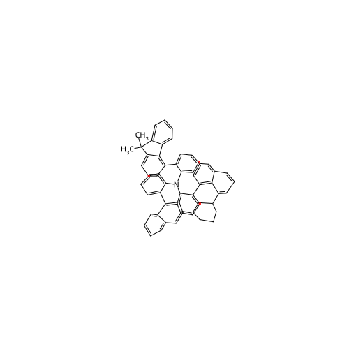 CC1(C)c2ccccc2-c2c(-c3ccccc3N(c3ccccc3-c3cccc4ccccc34)c3ccccc3-c3cccc4cccc(C5CCCCC5)c34)cccc21